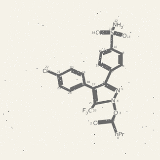 CCCC(=O)On1nc(-c2ccc(S(N)(=O)=O)cc2)c(-c2ccc(Cl)cc2)c1C(F)(F)F